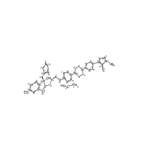 CC(=O)O.CCC(C)n1ncn(-c2ccc(N3CCN(c4ccc(OC[C@H]5CO[C@](Cn6cncn6)(c6ccc(Cl)cc6Cl)O5)cc4)CC3)cc2)c1=O